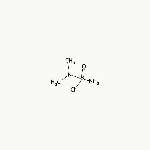 CN(C)P(N)(=O)Cl